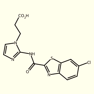 O=C(O)CCn1ccnc1NC(=O)c1nc2ccc(Cl)cc2s1